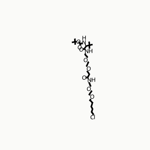 CC(C)(C)OC(=O)N[C@H](C(=O)NCCOCCOCCC(=O)NCCOCCOCCCCCCCl)C(C)(C)C